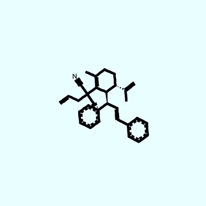 C=CCC(C#N)(C#N)C1=C(C)CC[C@H](C(=C)C)C1[C@@H](/C=C/c1ccccc1)c1ccccc1